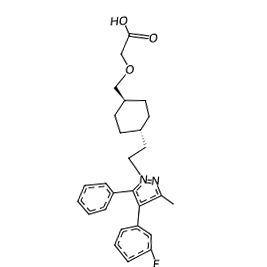 Cc1nn(CC[C@H]2CC[C@H](COCC(=O)O)CC2)c(-c2ccccc2)c1-c1cccc(F)c1